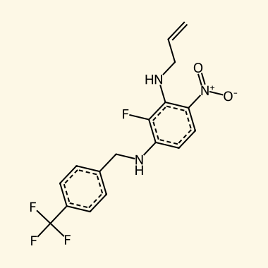 C=CCNc1c([N+](=O)[O-])ccc(NCc2ccc(C(F)(F)F)cc2)c1F